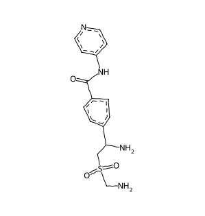 NCS(=O)(=O)CC(N)c1ccc(C(=O)Nc2ccncc2)cc1